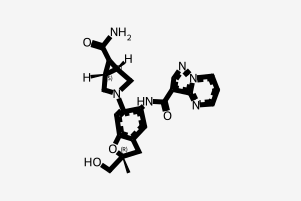 C[C@]1(CO)Cc2cc(NC(=O)c3cnn4cccnc34)c(N3C[C@@H]4C(C(N)=O)[C@@H]4C3)cc2O1